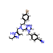 CCc1nc(C)c(CN(CCc2ccc(Br)cc2)Cc2nncn2Cc2ccc(C#N)cc2)[nH]1